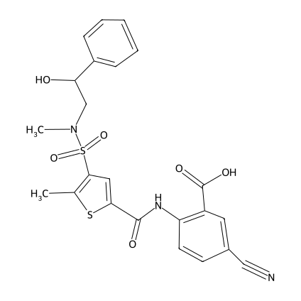 Cc1sc(C(=O)Nc2ccc(C#N)cc2C(=O)O)cc1S(=O)(=O)N(C)CC(O)c1ccccc1